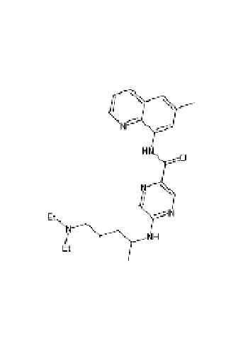 CCN(CC)CCCC(C)Nc1cnc(C(=O)Nc2cc(C)cc3cccnc23)cn1